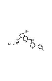 CC(C)c1ccc(N2C[C@H](CC#N)[C@H]2C)c2cnc(Nc3ccnc(-c4cnn(C)c4)n3)cc12